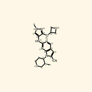 C[C@H]1COCC[C@H]1n1c(C#N)cc2cnc(Nc3cn(C)nc3OC3COC3)nc21